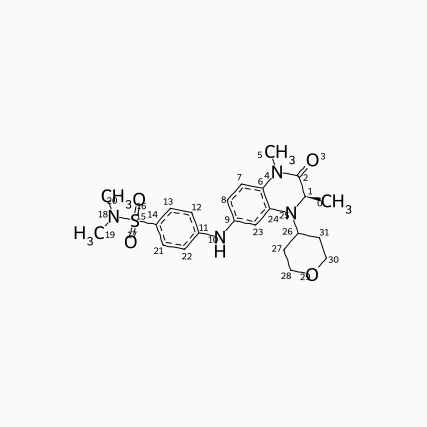 C[C@@H]1C(=O)N(C)c2ccc(Nc3ccc(S(=O)(=O)N(C)C)cc3)cc2N1C1CCOCC1